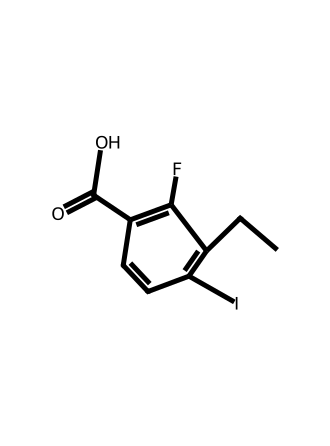 CCc1c(I)ccc(C(=O)O)c1F